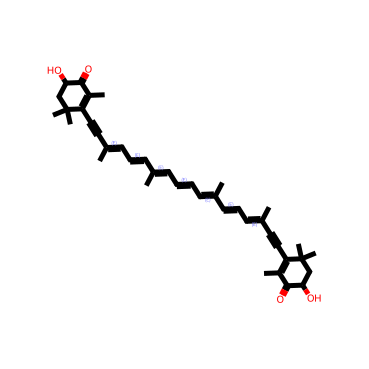 CC1=C(C#C/C(C)=C/C=C/C(C)=C/C=C/C=C(C)/C=C/C=C(\C)C#CC2=C(C)C(=O)C(O)CC2(C)C)C(C)(C)CC(O)C1=O